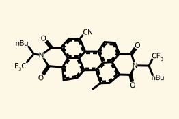 CCCCC(N1C(=O)c2ccc3c4c(C#N)cc5c6c(ccc(c7c(C)cc(c2c37)C1=O)c64)C(=O)N(C(CCCC)C(F)(F)F)C5=O)C(F)(F)F